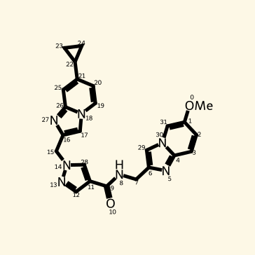 COc1ccc2nc(CNC(=O)c3cnn(Cc4cn5ccc(C6CC6)cc5n4)c3)cn2c1